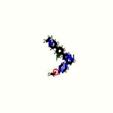 CCOCN1CCN(c2ccnn3cc(-c4ccc(C5=CCN(C(C)C)CC5)cc4F)cc23)CC1